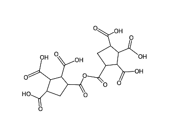 O=C(O)C1CC(C(=O)OC(=O)C2CC(C(=O)O)C(C(=O)O)C2C(=O)O)C(C(=O)O)C1C(=O)O